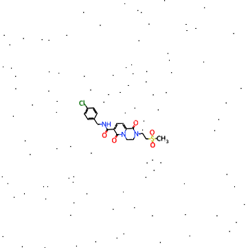 CS(=O)(=O)CCN1CCn2c(ccc(C(=O)NCc3ccc(Cl)cc3)c2=O)C1=O